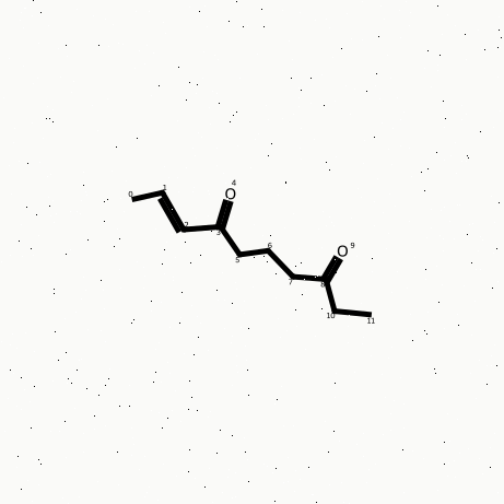 C/C=C/C(=O)CCCC(=O)CC